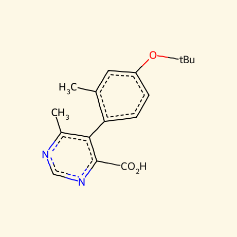 Cc1cc(OC(C)(C)C)ccc1-c1c(C)ncnc1C(=O)O